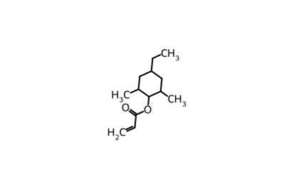 C=CC(=O)OC1C(C)CC(CC)CC1C